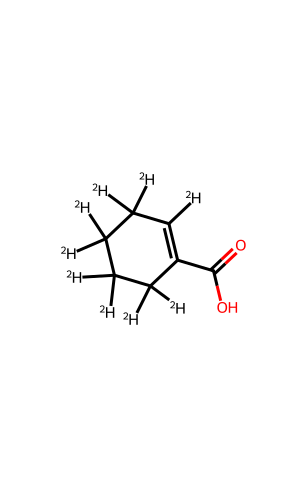 [2H]C1=C(C(=O)O)C([2H])([2H])C([2H])([2H])C([2H])([2H])C1([2H])[2H]